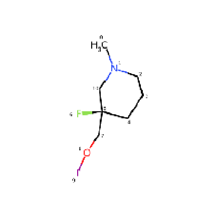 CN1CCC[C@](F)(COI)C1